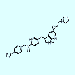 FC(F)(F)c1ccc(CNc2ccc(CC3CNc4ncc(OCCN5CCCC5)cc43)cn2)cc1